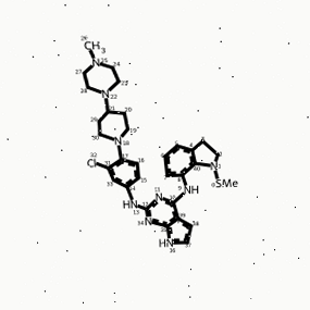 CSN1CCc2cccc(Nc3nc(Nc4ccc(N5CCC(N6CCN(C)CC6)CC5)c(Cl)c4)nc4[nH]ccc34)c21